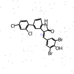 O=C1Nc2ccc(-c3ccc(Cl)cc3Cl)cc2/C1=C/c1cc(Br)c(O)c(Br)c1